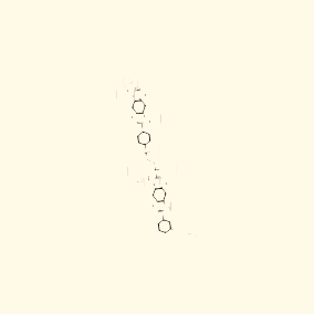 CC(C)(C)c1cccc(-c2nc3cc4[nH]c(C(C)(C)CCC(C)(C)c5ccc(-c6nc7cc8[nH]c(C(C)(C)C)nc8cc7[nH]6)cc5)nc4cc3[nH]2)c1